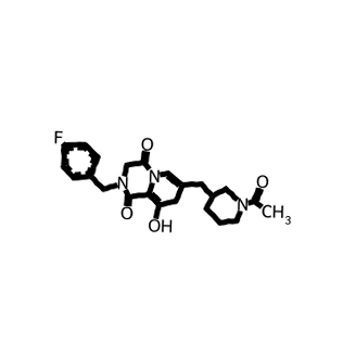 CC(=O)N1CCCC(CC2=CN3C(=O)CN(Cc4ccc(F)cc4)C(=O)C3=C(O)C2)C1